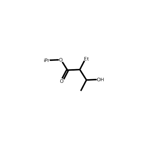 CCC(C(=O)OC(C)C)C(C)O